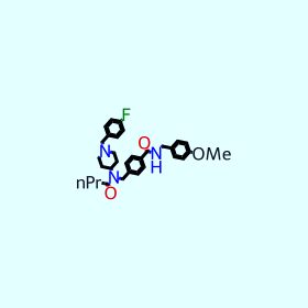 CCCC(=O)N(Cc1ccc(C(=O)NCc2ccc(OC)cc2)cc1)C1CCN(Cc2ccc(F)cc2)CC1